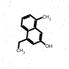 CCc1cc(O)cc2c(C)cccc12